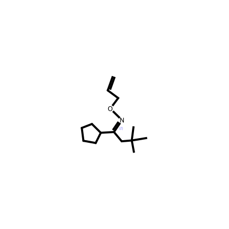 C=CCO/N=C(/CC(C)(C)C)C1CCCC1